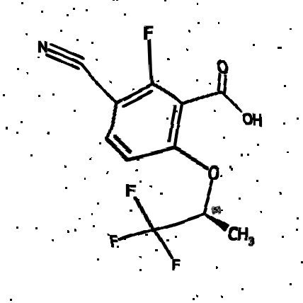 C[C@H](Oc1ccc(C#N)c(F)c1C(=O)O)C(F)(F)F